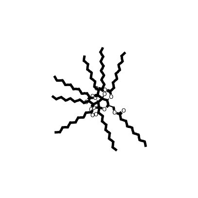 CCCCCCCCCC(=O)OC[C@H]1OC(OC(=O)CCCCCCCCC)(C(=O)CCCCCCCCC)[C@@](OC(=O)CCCCCCCCC)(C(=O)CCCCCCCCC)[C@](OC(=O)CCCCCCCCC)(C(=O)CCCCCCCCC)[C@@H]1OC(=O)CCCCCCCCC